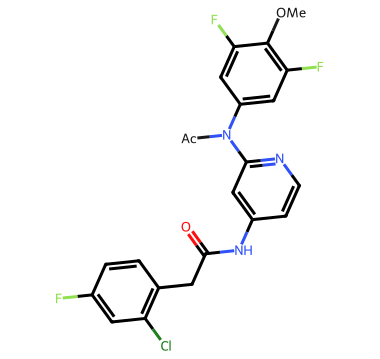 COc1c(F)cc(N(C(C)=O)c2cc(NC(=O)Cc3ccc(F)cc3Cl)ccn2)cc1F